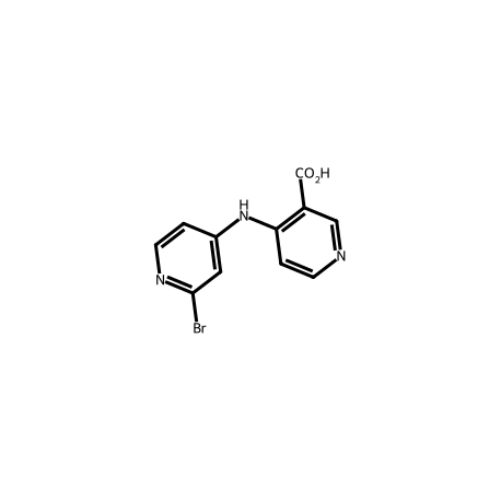 O=C(O)c1cnccc1Nc1ccnc(Br)c1